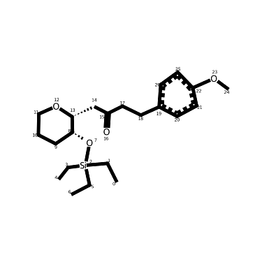 CC[Si](CC)(CC)O[C@@H]1CCCO[C@@H]1CC(=O)CCc1ccc(OC)cc1